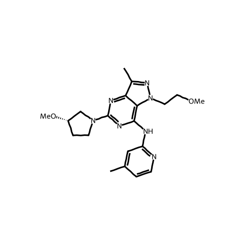 COCCn1nc(C)c2nc(N3CC[C@H](OC)C3)nc(Nc3cc(C)ccn3)c21